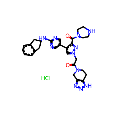 Cl.O=C(Cn1cc(-c2cnc(NC3Cc4ccccc4C3)nc2)c(C(=O)N2CCNCC2)n1)N1CCc2[nH]nnc2C1